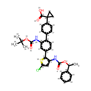 CC(OC(=O)Nc1cc(Cl)sc1-c1ccc(-c2ccc(C3(C(=O)O)CC3)cc2)c(NC(=O)OC(C)(C)C)c1)c1ccccc1